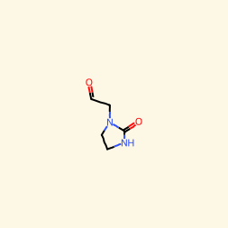 O=CCN1CCNC1=O